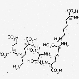 CC(C)C[C@H](N)C(=O)O.C[C@@H](O)[C@H](N)C(=O)O.C[C@H](N)C(=O)O.NCCCC[C@H](N)C(=O)O.NCCCC[C@H](N)C(=O)O.N[C@@H](CCC(=O)O)C(=O)O